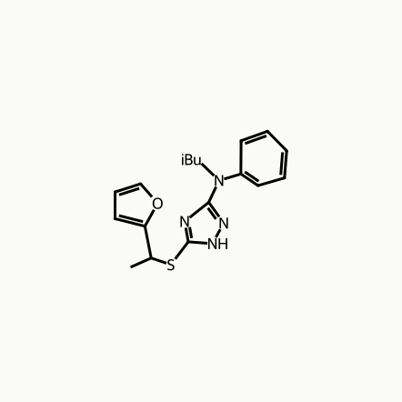 CCC(C)N(c1ccccc1)c1n[nH]c(SC(C)c2ccco2)n1